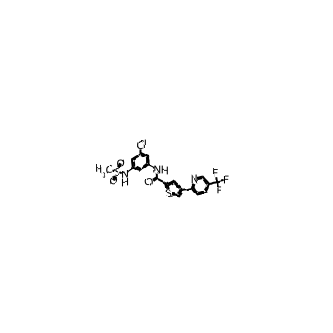 CS(=O)(=O)Nc1cc(Cl)cc(NC(=O)c2cc(-c3ccc(C(F)(F)F)cn3)cs2)c1